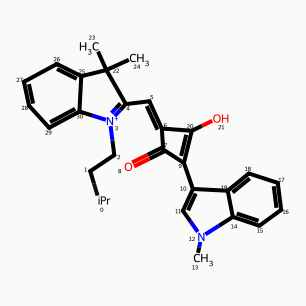 CC(C)CC[N+]1=C(/C=C2\C(=O)C(c3cn(C)c4ccccc34)=C2O)C(C)(C)c2ccccc21